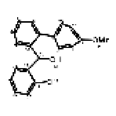 COc1ccc(-c2ccccc2C(O)c2ccccc2Cl)cc1